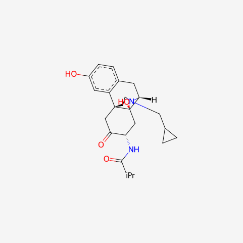 CC(C)C(=O)N[C@H]1C[C@@]2(O)[C@H]3Cc4ccc(O)cc4[C@@]2(CCN3CC2CC2)CC1=O